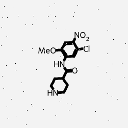 COc1cc([N+](=O)[O-])c(Cl)cc1NC(=O)C1CCNCC1